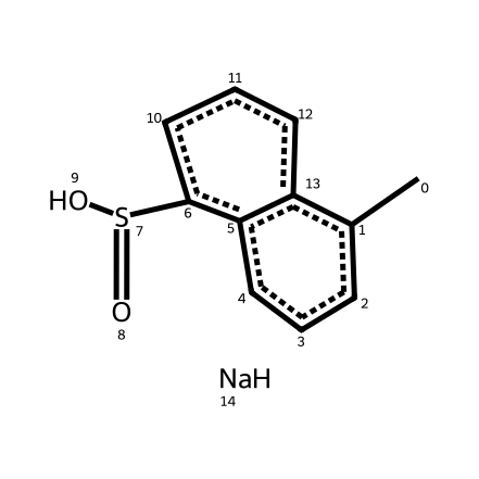 Cc1cccc2c(S(=O)O)cccc12.[NaH]